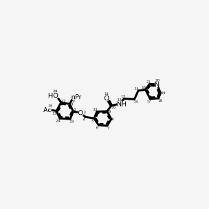 CCCc1c(OCc2cccc(C(=O)NCCCc3cccnc3)c2)ccc(C(C)=O)c1O